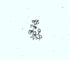 O=C1OC2C3CC(CC13)C2OC(=O)C(F)(F)C1OOO1